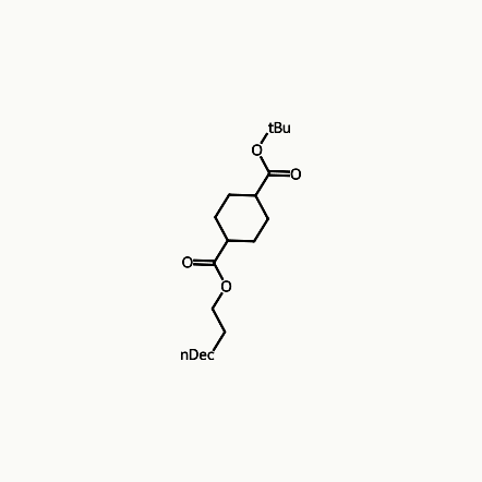 CCCCCCCCCCCCOC(=O)C1CCC(C(=O)OC(C)(C)C)CC1